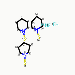 F.F.F.[S]N1CCCCC1.[S]N1CCCCC1.[S]N1CCCCC1